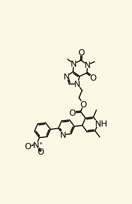 CC1=CC(c2ccc(-c3cccc([N+](=O)[O-])c3)nc2)C(C(=O)OCCn2cnc3c2c(=O)n(C)c(=O)n3C)=C(C)N1